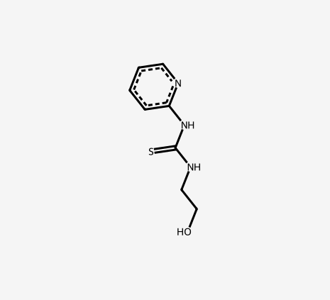 OCCNC(=S)Nc1ccccn1